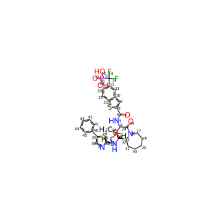 CC(C)(C)C(NC(=O)c1cc2cc(C(F)(F)P(=O)(O)O)ccc2s1)C(=O)N1CCCCC[C@H]1C(=O)Nc1ncc(-c2ccccc2)s1